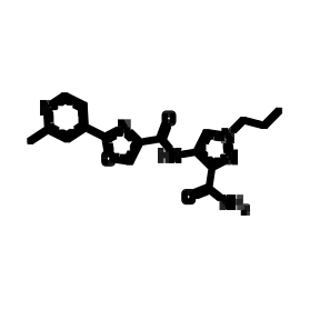 CCCn1cc(NC(=O)c2coc(-c3ccnc(C)c3)n2)c(C(N)=O)n1